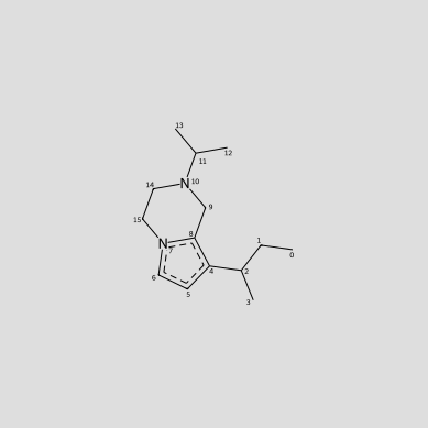 CCC(C)c1ccn2c1CN(C(C)C)CC2